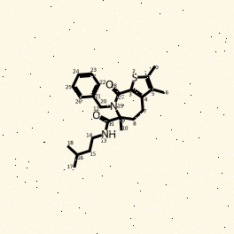 Cc1sc2c(c1C)CCC(C)(C(=O)NCCC(C)C)N(Cc1ccccc1)C2=O